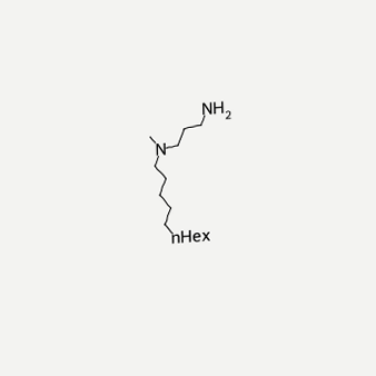 CCCCCCCCCCCN(C)CCCN